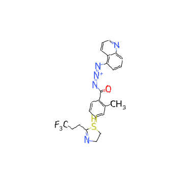 Cc1cc([SH]2CCN=C2CCC(F)(F)F)ccc1C(=O)N=[N+]=Nc1cccc2ncccc12